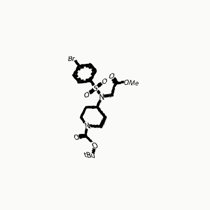 COC(=O)CN(C1CCN(C(=O)OC(C)(C)C)CC1)S(=O)(=O)c1ccc(Br)cc1